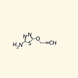 C#CCOc1nnc(N)s1